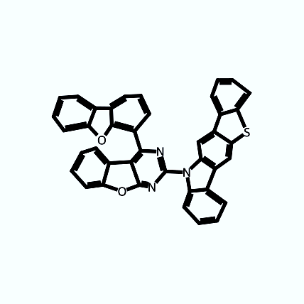 c1ccc2c(c1)oc1c(-c3nc(-n4c5ccccc5c5cc6sc7ccccc7c6cc54)nc4oc5ccccc5c34)cccc12